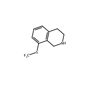 FC(F)(F)Sc1cccc2c1CNCC2